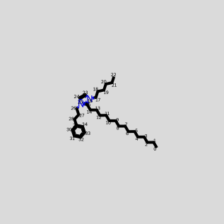 CCCCCCCCCCCCCCCc1n(CCCCCC)cc[n+]1CCCc1ccccc1